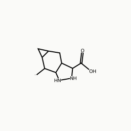 [CH2]C1C2CC2CC2C(C(=O)O)NNC12